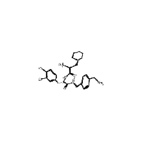 NCc1ccc(CNC(=O)[C@H](Cc2ccc(Cl)c(Cl)c2)NC(=O)C(N)CC2CCCCC2)cc1